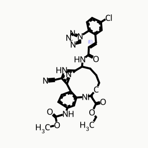 CCOC(=O)C1CCCCC(NC(=O)/C=C/c2cc(Cl)ccc2-n2cnnn2)c2nc(c(C#N)[nH]2)-c2ccc(NC(=O)OC)cc2N1